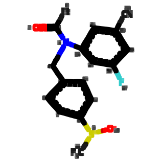 CCC(=O)N(Cc1ccc([S+]([O-])C(F)(F)F)cc1)c1cc(F)cc(C#N)c1